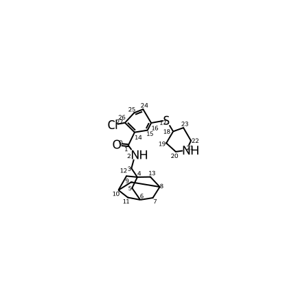 O=C(NCC12CC3CC(CC(C3)C1)C2)c1cc(SC2CCNCC2)ccc1Cl